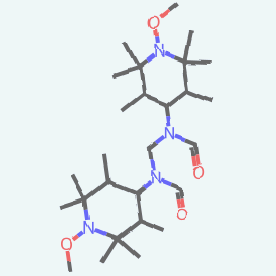 CON1C(C)(C)C(C)C(N(C=O)CN(C=O)C2C(C)C(C)(C)N(OC)C(C)(C)C2C)C(C)C1(C)C